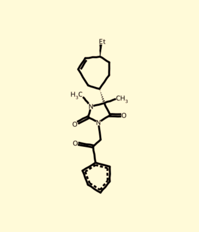 CC[C@@H]1C=CC[C@@H](C2(C)C(=O)N(CC(=O)c3ccccc3)C(=O)N2C)CC1